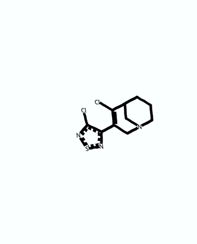 ClC1=C(c2nsnc2Cl)CN2CCCC1C2